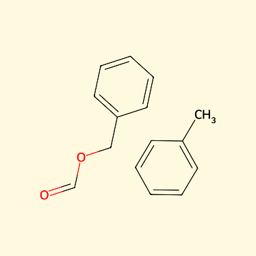 Cc1ccccc1.O=COCc1ccccc1